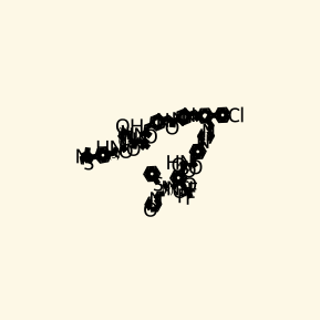 Cc1ncsc1-c1ccc([C@H](C)NC(=O)[C@@H]2C[C@@H](O)CN2C(=O)[C@@H](NC(=O)CC2CCN(CC(=O)N3CCN(CC4(C)CCC(c5ccc(Cl)cc5)=C(CN5CCN(c6ccc(C(=O)NS(=O)(=O)c7ccc(N[C@H](CCN8CCOCC8)CSc8ccccc8)c(S(=O)(=O)C(F)(F)F)c7)cc6)CC5)C4)CC3)CC2)C(C)(C)C)cc1